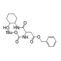 CC(C)(C)OC(=O)NC(CC(=O)OCc1ccccc1)C(=O)NC1CCCCC1O